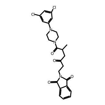 CC(CC(=O)CCN1C(=O)c2ccccc2C1=O)C(=O)N1CCN(c2cc(Cl)cc(Cl)c2)CC1